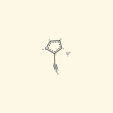 [C-]#Cc1cccs1.[Li+]